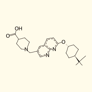 CC(C)(C)[C@H]1CC[C@H](Oc2ccc3cc(CN4CCC(C(=O)O)CC4)cnc3n2)CC1